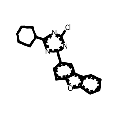 Clc1nc(-c2ccc3oc4ccccc4c3c2)nc(C2CCCCC2)n1